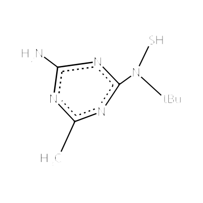 Cc1nc(N)nc(N(S)C(C)(C)C)n1